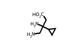 NCC(N)(CC(=O)O)C1CC1